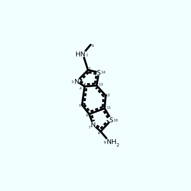 CNc1nc2cc3nc(N)sc3cc2s1